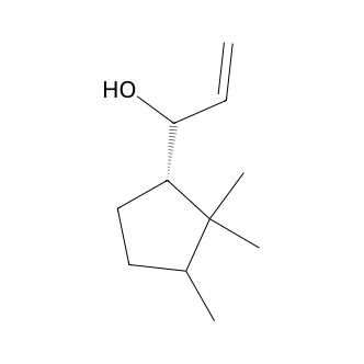 C=CC(O)[C@H]1CCC(C)C1(C)C